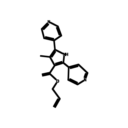 C=CCOC(=C)c1c(-c2ccncc2)[nH]c(-c2ccncc2)c1C